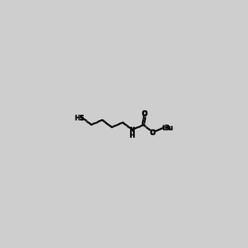 CC(C)(C)OC(=O)NCCCCS